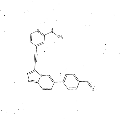 CNc1cc(C#Cc2cnc3ccc(-c4ccc(C=O)cc4)cn23)ccn1